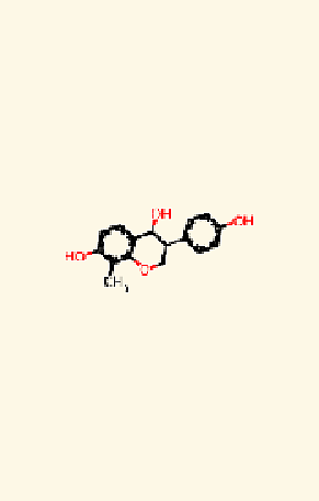 Cc1c(O)ccc2c1OC[C@H](c1ccc(O)cc1)[C@@H]2O